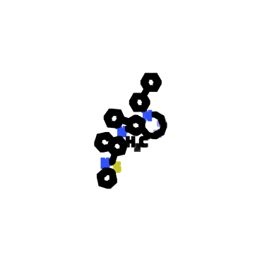 C=C1/C=C\C=C/CN(c2cccc(-c3ccccc3)c2)c2cc3c4ccccc4n(-c4ccc(-c5nc6ccccc6s5)c5ccccc45)c3cc21